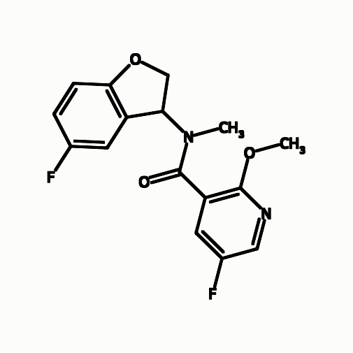 COc1ncc(F)cc1C(=O)N(C)C1COc2ccc(F)cc21